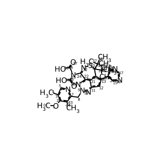 COc1c(C)cnc(Cn2nc3cc(-c4cncnc4)c4c-3c(n2)C(N(C(=O)O)C(=O)O)=NSC4(C(C)(C)C)C(C)(C)C)c1C